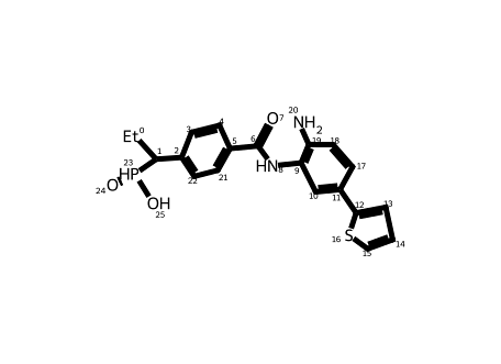 CCC(c1ccc(C(=O)Nc2cc(-c3cccs3)ccc2N)cc1)[PH](=O)O